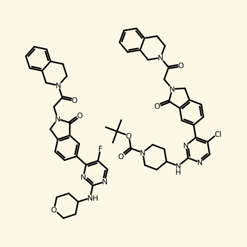 CC(C)(C)OC(=O)N1CCC(Nc2ncc(Cl)c(-c3ccc4c(c3)C(=O)N(CC(=O)N3CCc5ccccc5C3)C4)n2)CC1.O=C(CN1Cc2ccc(-c3nc(NC4CCOCC4)ncc3F)cc2C1=O)N1CCc2ccccc2C1